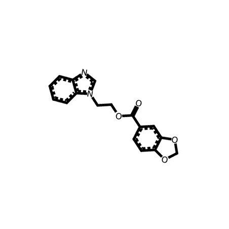 O=C(OCCn1cnc2ccccc21)c1ccc2c(c1)OCO2